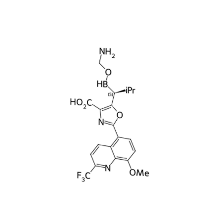 COc1ccc(-c2nc(C(=O)O)c([C@@H](BOCN)C(C)C)o2)c2ccc(C(F)(F)F)nc12